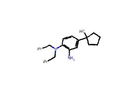 CC(C)CN(CC(C)C)c1ccc(C2(C#N)CCCC2)cc1N